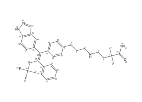 CC(C)(CCNCCOc1ccc(/C(=C(/CC(F)(F)F)c2ccccc2)c2ccc3[nH]ncc3c2)cc1)C(N)=O